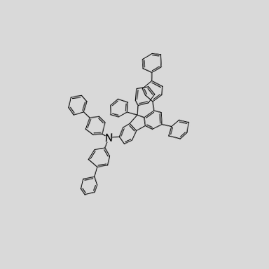 c1ccc(-c2ccc(-c3cc(-c4ccccc4)cc4c3C(c3ccccc3)(c3ccccc3)c3cc(N(c5ccc(-c6ccccc6)cc5)c5ccc(-c6ccccc6)cc5)ccc3-4)cc2)cc1